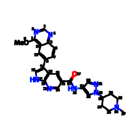 COc1ncnc2ccc(-c3c[nH]c4ncc(C(=O)Nc5cnn(C6CCN(C)CC6)c5)cc34)cc12